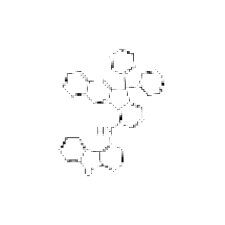 c1ccc(C2(c3ccccc3)c3cc4ccccc4cc3-c3c(Nc4cccc5oc6ccccc6c45)cccc32)cc1